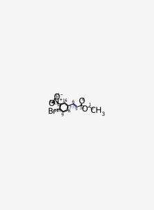 CCOC(=O)/C=C/c1ccc(Br)c([N+](=O)[O-])c1